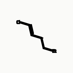 CCC[CH]/C=C/Cl